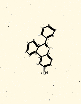 N#Cc1ccc2nc(-c3ccccc3)c3ccccc3c2c1